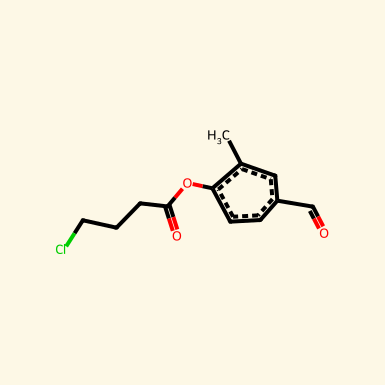 Cc1cc(C=O)ccc1OC(=O)CCCCl